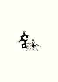 C[C@H]1CC[C@]1(N[S@@+]([O-])C(C)(C)C)c1ncc(Br)cc1F